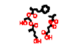 C=C(C)C(=O)OC(=O)CCC(=O)O.C=C(CCCO)C(=O)OCC(CO)OC(=O)C(=C)CCc1ccccc1